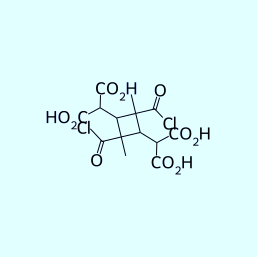 CC1(C(=O)Cl)C(C(C(=O)O)C(=O)O)C(C)(C(=O)Cl)C1C(C(=O)O)C(=O)O